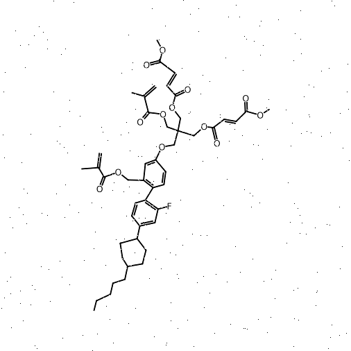 C=C(C)C(=O)OCc1cc(OCC(COC(=O)/C=C/C(=O)OC)(COC(=O)/C=C/C(=O)OC)COC(=O)C(=C)C)ccc1-c1ccc(C2CCC(CCCCC)CC2)cc1F